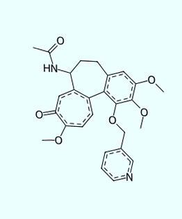 COc1cc2c(c(OCc3cccnc3)c1OC)-c1ccc(OC)c(=O)cc1C(NC(C)=O)CC2